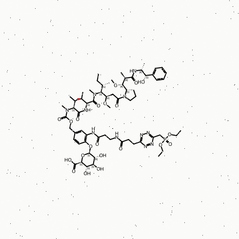 CCOP(=O)(Cc1nnc(CCC(=O)NCCC(=O)Nc2cc(COC(=O)N(C)[C@H](C(=O)N[C@H](C(=O)N(C)[C@@H]([C@@H](C)CC)[C@@H](CC(=O)N3CCC[C@H]3[C@H](OC)[C@@H](C)C(=O)N[C@H](C)[C@@H](O)c3ccccc3)OC)C(C)C)C(C)C)ccc2O[C@@H]2O[C@H](C(=O)O)[C@@H](O)[C@H](O)[C@H]2O)nn1)OCC